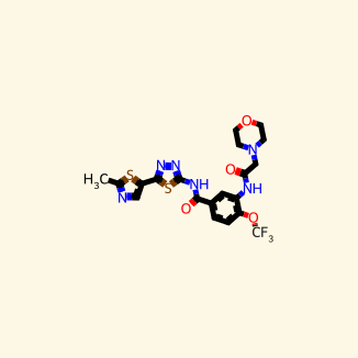 Cc1ncc(-c2nnc(NC(=O)c3ccc(OC(F)(F)F)c(NC(=O)CN4CCOCC4)c3)s2)s1